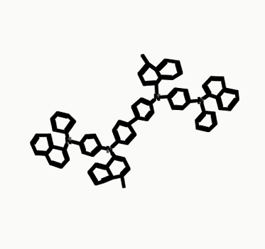 Cc1ccc(N(c2ccc(-c3ccc(N(c4ccc(N(c5ccccc5)c5cccc6ccccc56)cc4)c4ccc(C)c5ccccc45)cc3)cc2)c2ccc(N(c3ccccc3)c3cccc4ccccc34)cc2)c2ccccc12